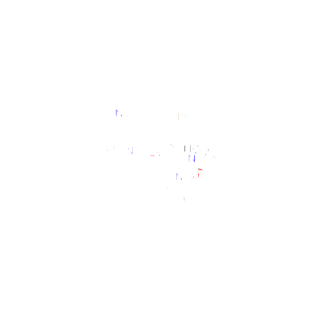 O=C(O)[C@H]1CCCC[C@H]1C(=O)N1CCc2c(Br)ccc(O[C@H]3CCN(C(=O)c4cncs4)C3)c2[C@H]1CN1C(=O)c2ccccc2C1=O